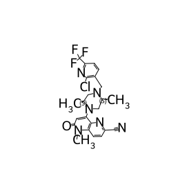 C[C@H]1CN(c2cc(=O)n(C)c3ccc(C#N)nc23)[C@@H](C)CN1Cc1ccc(C(F)(F)F)nc1Cl